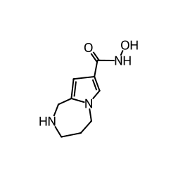 O=C(NO)c1cc2n(c1)CCCNC2